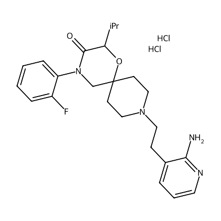 CC(C)C1OC2(CCN(CCc3cccnc3N)CC2)CN(c2ccccc2F)C1=O.Cl.Cl